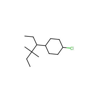 CCC(C1CCC(Cl)CC1)C(C)(C)CC